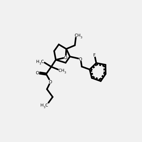 CCCOC(=O)C(C)(C)C12CCC(CC)(O1)C(OCc1ccccc1F)C2